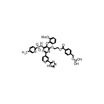 COc1ccccc1Oc1c(NS(=O)(=O)c2ccc(C)cn2)nc(-c2ccnc(-c3nnn[nH]3)c2)nc1OCCOC(=O)c1ccc(CON(O)O)cc1